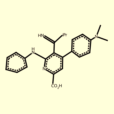 CC(C)C(=N)c1c(-c2ccc(N(C)C)cc2)cc(C(=O)O)nc1Nc1ccccc1